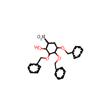 O=[N+]([O-])C1CC(OCc2ccccc2)C(OCc2ccccc2)C(OCc2ccccc2)C1O